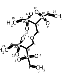 C=CS(=O)(=O)C(COCC(S(=O)(=O)C=C)S(=O)(=O)C=C)S(=O)(=O)C=C